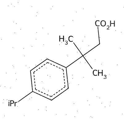 CC(C)c1ccc(C(C)(C)CC(=O)O)cc1